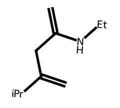 C=C(CC(=C)C(C)C)NCC